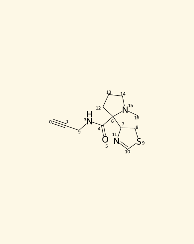 C#CCNC(=O)C1(C2CSC=N2)CCCN1C